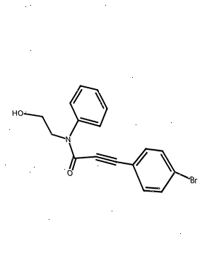 O=C(C#Cc1ccc(Br)cc1)N(CCO)c1ccccc1